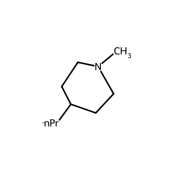 CC[CH]C1CCN(C)CC1